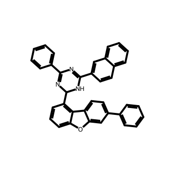 c1ccc(C2=NC(c3cccc4oc5cc(-c6ccccc6)ccc5c34)NC(c3ccc4ccccc4c3)=N2)cc1